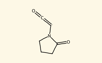 O=C=[C]N1CCCC1=O